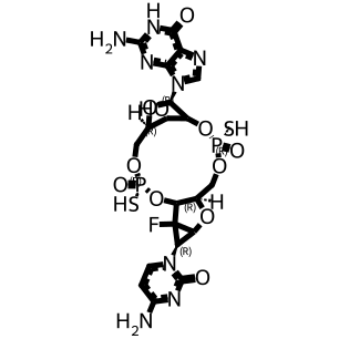 Nc1ccn([C@@H]2C3O[C@@H]4CO[P@@](=O)(S)OC5C(O)[C@@H](CO[P@@](=O)(S)OC4C32F)O[C@H]5n2cnc3c(=O)[nH]c(N)nc32)c(=O)n1